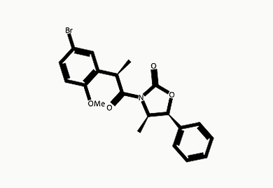 COc1ccc(Br)cc1[C@@H](C)C(=O)N1C(=O)O[C@@H](c2ccccc2)[C@H]1C